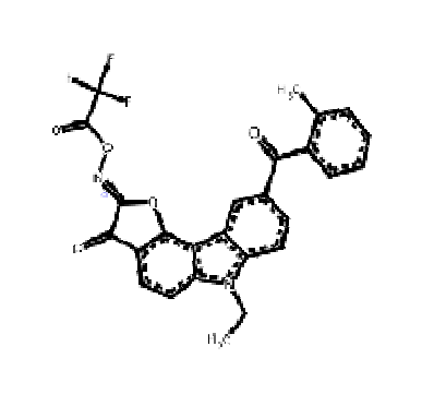 CCn1c2ccc(C(=O)c3ccccc3C)cc2c2c3c(ccc21)C(=O)/C(=N/OC(=O)C(F)(F)F)O3